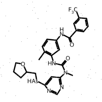 Cc1ccc(NC(=O)c2cccc(C(F)(F)F)c2)cc1NC(=O)N(C)c1cc([AsH]CC2CCCO2)ncn1